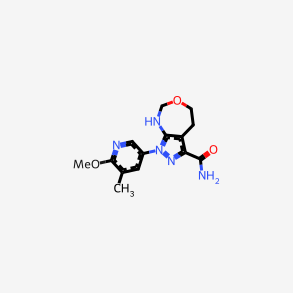 COc1ncc(-n2nc(C(N)=O)c3c2NCOCC3)cc1C